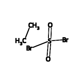 CC.O=S(=O)(Br)Br